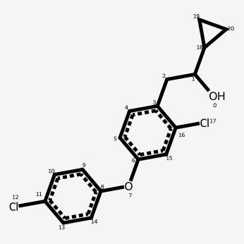 OC(Cc1ccc(Oc2ccc(Cl)cc2)cc1Cl)C1CC1